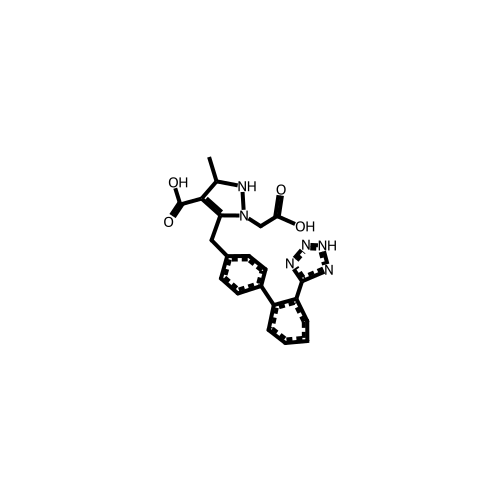 CC1NN(CC(=O)O)C(Cc2ccc(-c3ccccc3-c3nn[nH]n3)cc2)=C1C(=O)O